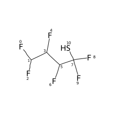 FC(F)C(F)C(F)C(F)(F)S